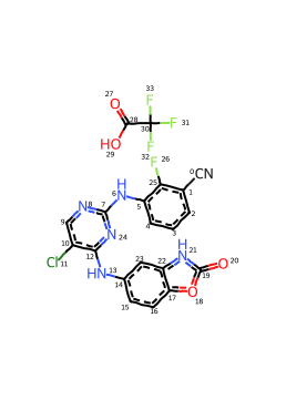 N#Cc1cccc(Nc2ncc(Cl)c(Nc3ccc4oc(=O)[nH]c4c3)n2)c1F.O=C(O)C(F)(F)F